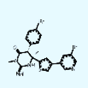 CC(C)c1ccc([C@H]2C(=O)N(C)C(=N)N[C@]2(C)c2cc(-c3cncc(Br)c3)cs2)cc1